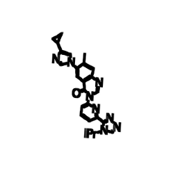 Cc1cc2ncn(-c3cccc(-c4nncn4C(C)C)n3)c(=O)c2cc1-n1cnc(C2CC2)c1